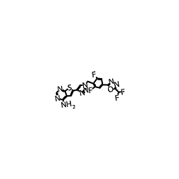 Nc1ncnc2sc(-c3cn(Cc4c(F)cc(-c5nnc(C(F)F)o5)cc4F)nn3)cc12